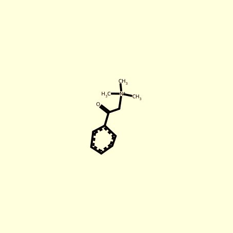 C[N+](C)(C)CC(=O)c1ccccc1